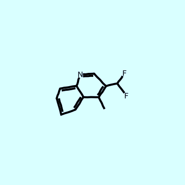 Cc1c(C(F)F)cnc2ccccc12